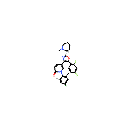 Cc1cc(Cl)cc(C)c1-n1cc(-c2nc([C@H]3CCCCN3C)oc2-c2ccc(F)cc2F)ccc1=O